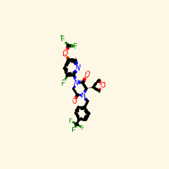 O=C1[C@H](C2COC2)N(Cc2ccc(C(F)(F)F)cc2)C(=O)CN1c1ncc(OC(F)F)cc1F